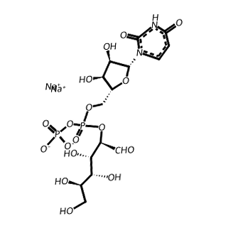 O=C[C@H](OP(=O)(OC[C@H]1O[C@@H](n2ccc(=O)[nH]c2=O)[C@H](O)[C@@H]1O)OP(=O)([O-])[O-])[C@@H](O)[C@H](O)[C@H](O)CO.[Na+].[Na+]